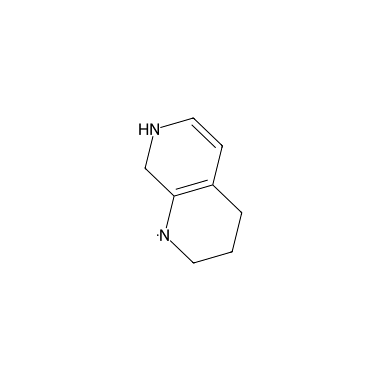 C1=CC2=C(CN1)[N]CCC2